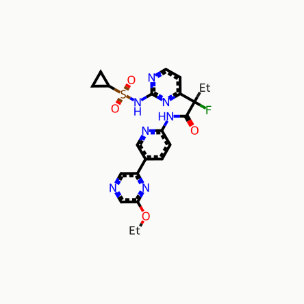 CCOc1cncc(-c2ccc(NC(=O)C(F)(CC)c3ccnc(NS(=O)(=O)C4CC4)n3)nc2)n1